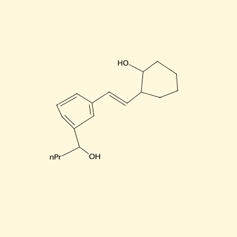 CCCC(O)c1cccc(/C=C/C2CCCCC2O)c1